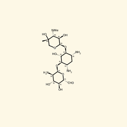 CN[C@@H]1[C@@H](O)[C@@H](O[C@@H]2[C@@H](O)[C@H](O[C@H]3O[C@H](C=O)[C@@H](O)[C@H](O)[C@H]3N)[C@@H](N)C[C@H]2N)OC[C@]1(C)O